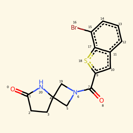 O=C1CCC2(CN(C(=O)c3cc4cccc(Br)c4s3)C2)N1